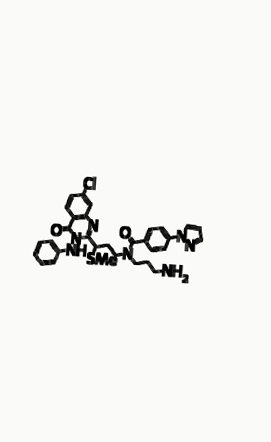 CSC(CCN(CCCN)C(=O)c1ccc(-n2cccn2)cc1)c1nc2cc(Cl)ccc2c(=O)n1Nc1ccccc1